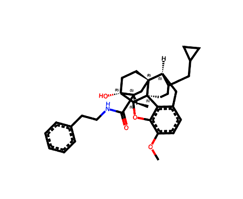 COc1ccc2c3c1O[C@@]1(C)[C@]34CCC(CC3CC3)[C@H](C2)[C@]42CC[C@@]1(O)[C@@H](C(=O)NCCc1ccccc1)C2